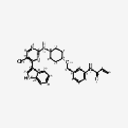 C=CC(=O)Nc1cccc(CO[C@H]2CC[C@H](Nc3ncc(Cl)c(-c4c[nH]c5ccccc45)n3)CC2)c1